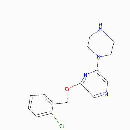 Clc1ccccc1COc1cncc(N2CCNCC2)n1